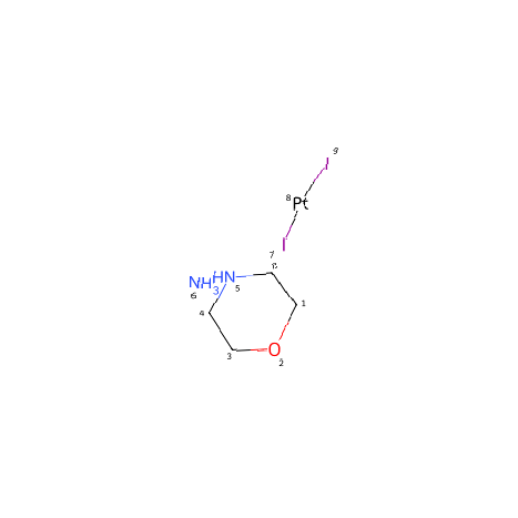 C1COCCN1.N.[I][Pt][I]